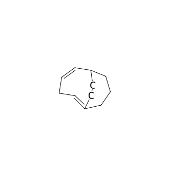 C1=C\C2CCC/C(=C\C/1)CC2